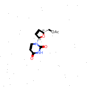 CC(=O)OC[C@H]1C=C[C@@H](n2ccc(=O)[nH]c2=O)O1